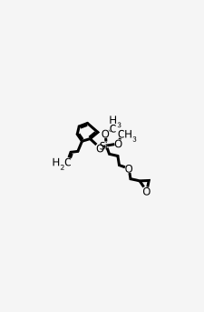 C=CCc1ccccc1O[Si](CCCOCC1CO1)(OC)OC